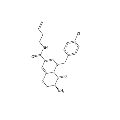 C=CCCNC(=O)C1=CN(Cc2ccc(Cl)cc2)C2C(=O)[C@@H](N)CSC2=C1